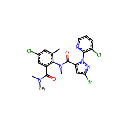 CCCN(C)C(=O)c1cc(Cl)cc(C)c1N(C)C(=O)c1cc(Br)nn1-c1ncccc1Cl